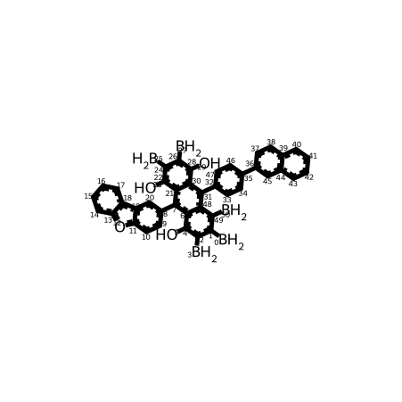 Bc1c(B)c(O)c2c(-c3ccc4oc5ccccc5c4c3)c3c(O)c(B)c(B)c(O)c3c(-c3ccc(-c4ccc5ccccc5c4)cc3)c2c1B